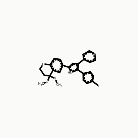 CSC1(SC)CCOc2ccc(-c3cc(-c4ccncc4)c(-c4ccc(F)cc4)[nH]3)cc21